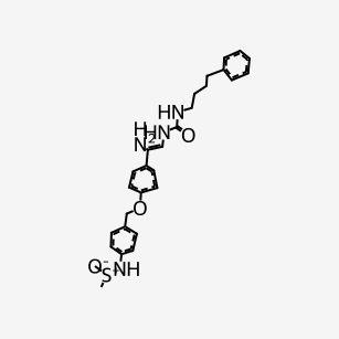 C[S+]([O-])Nc1ccc(COc2ccc(/C(N)=C/NC(=O)NCCCCc3ccccc3)cc2)cc1